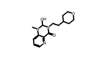 CN1c2cccnc2C(=O)N(CCC2CCOCC2)C1O